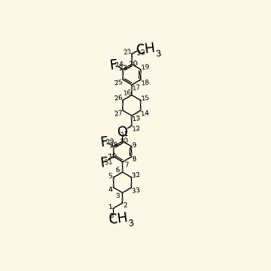 CCCC1CCC(c2ccc(OCC3CCC(c4ccc(CC)c(F)c4)CC3)c(F)c2F)CC1